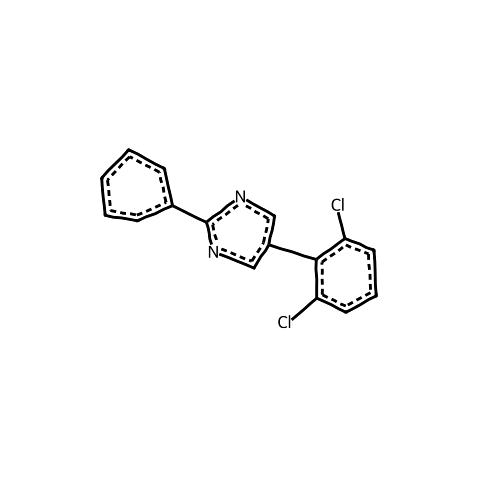 Clc1cccc(Cl)c1-c1cnc(-c2ccccc2)nc1